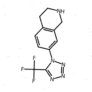 FC(F)(F)c1nnnn1-c1ccc2c(c1)CNCC2